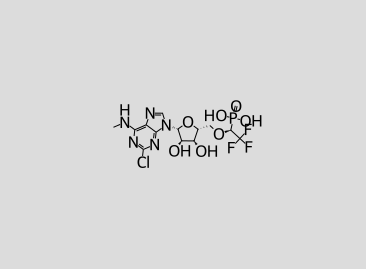 CNc1nc(Cl)nc2c1ncn2[C@@H]1O[C@H](CO[C@H](C(F)(F)F)P(=O)(O)O)[C@@H](O)[C@H]1O